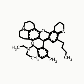 CCCCc1cc2c(c3c1=NCCC3)Oc1c(cc3c4c1CCCN4CCC3)C=2c1cc(P)ccc1C(=O)N(CC)CC